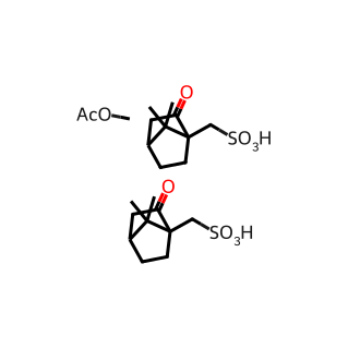 CC1(C)C2CCC1(CS(=O)(=O)O)C(=O)C2.CC1(C)C2CCC1(CS(=O)(=O)O)C(=O)C2.COC(C)=O